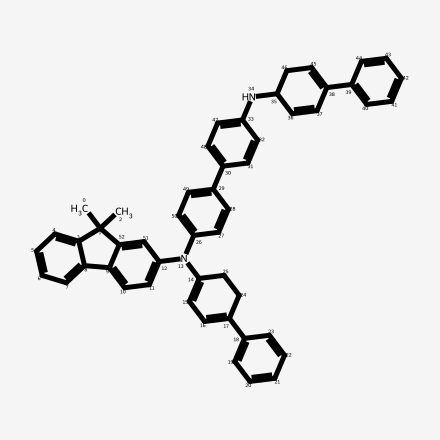 CC1(C)c2ccccc2-c2ccc(N(C3=CC=C(c4ccccc4)CC3)c3ccc(-c4ccc(NC5C=CC(c6ccccc6)=CC5)cc4)cc3)cc21